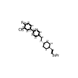 CCCC=C[C@H]1CC[C@H](CCc2cnc(-c3ccc(F)c(Cl)c3)nc2)CC1